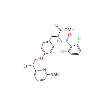 CCC(COc1ccc(C[C@H](NC(=O)c2c(Cl)cccc2Cl)C(=O)OC)cc1)c1cccc(NC)n1